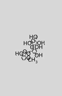 COc1cccc(O)c1C(=O)OCc1cc(O)ccc1O[C@@H]1[C@@H](O)[C@H](O)[C@@H](CO)O[C@H]1O